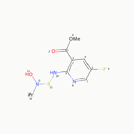 COC(=O)c1cc(F)cnc1NSN(O)C(C)C